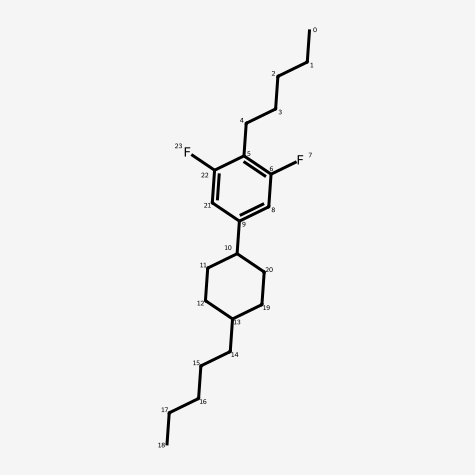 CCCCCc1c(F)cc(C2CCC(CCCCC)CC2)cc1F